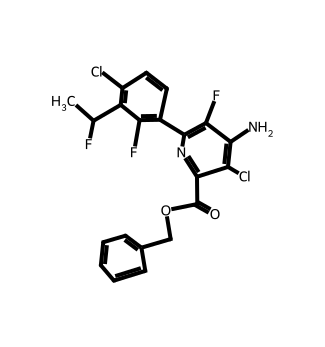 CC(F)c1c(Cl)ccc(-c2nc(C(=O)OCc3ccccc3)c(Cl)c(N)c2F)c1F